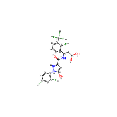 O=C(O)CC(NC(=O)c1cc(O)n(-c2ccc(F)cc2F)n1)c1cccc(C(F)(F)F)c1F